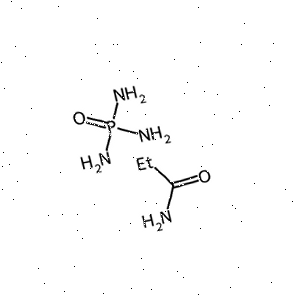 CCC(N)=O.NP(N)(N)=O